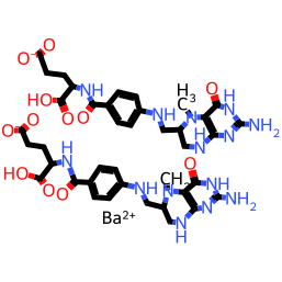 CN1c2c(nc(N)[nH]c2=O)NCC1CNc1ccc(C(=O)NC(CCC(=O)[O-])C(=O)O)cc1.CN1c2c(nc(N)[nH]c2=O)NCC1CNc1ccc(C(=O)NC(CCC(=O)[O-])C(=O)O)cc1.[Ba+2]